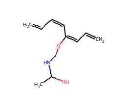 C=C/C=C\C(=C/C=C)OCNC(C)O